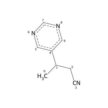 CC(CC#N)c1cncnc1